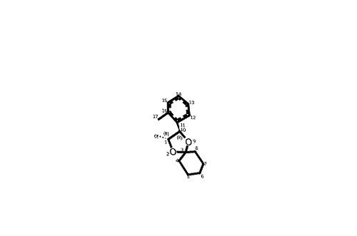 [CH2][C@H]1OC2(CCCCC2)O[C@@H]1c1ccccc1C